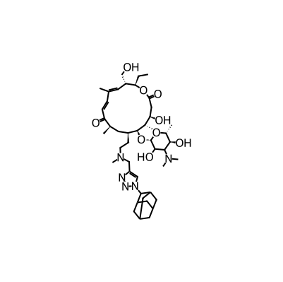 CC[C@H]1OC(=O)C[C@@H](O)[C@H](C)[C@@H](O[C@@H]2O[C@H](C)[C@@H](O)C(N(C)C)C2O)[C@@H](CCN(C)Cc2cn(C3C4CC5CC(C4)CC3C5)nn2)C[C@@H](C)C(=O)/C=C/C(C)=C/[C@@H]1CO